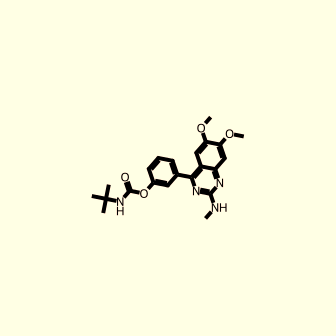 CNc1nc(-c2cccc(OC(=O)NC(C)(C)C)c2)c2cc(OC)c(OC)cc2n1